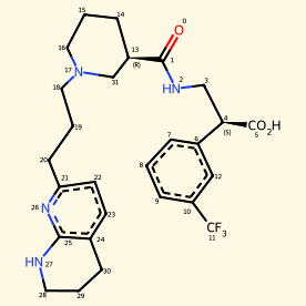 O=C(NC[C@@H](C(=O)O)c1cccc(C(F)(F)F)c1)[C@@H]1CCCN(CCCc2ccc3c(n2)NCCC3)C1